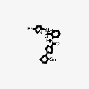 O=C(Nc1ccccc1C(=O)Nc1ccc(Br)cn1)c1ccc(-c2ccccc2S)cc1